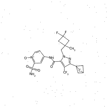 CC1(Cn2nc(C34CC(C3)C4)c(C(F)(F)F)c2C(=O)Nc2cc[n+]([O-])c(S(N)(=O)=O)c2)CC(F)(F)C1